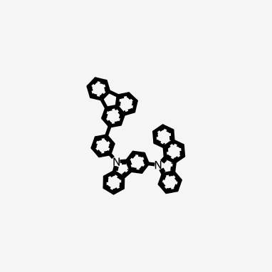 c1cc(-c2cc3c4c(cccc4c2)-c2ccccc2-3)cc(-n2c3ccccc3c3cc(-n4c5ccccc5c5ccc6ccccc6c54)ccc32)c1